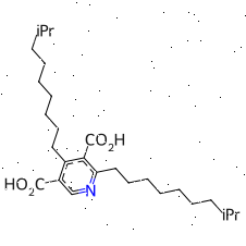 CC(C)CCCCCCCc1ncc(C(=O)O)c(CCCCCCCC(C)C)c1C(=O)O